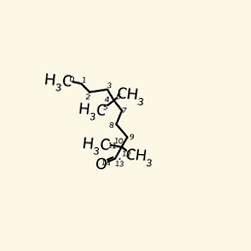 CCCCC(C)(C)CCCC(C)(C)[C]=O